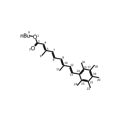 CCCCOC(=O)/C=C(C)/C=C/C=C(C)/C=C/c1c(C)c(C)c(C)c(C)c1C